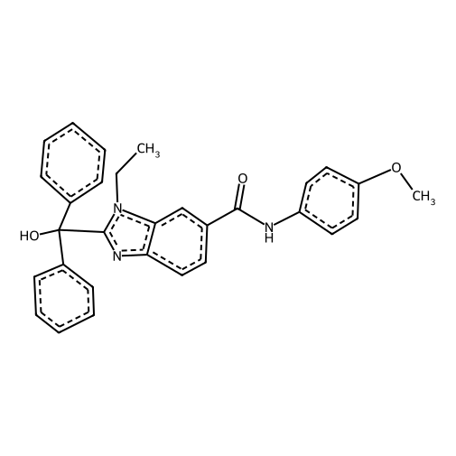 CCn1c(C(O)(c2ccccc2)c2ccccc2)nc2ccc(C(=O)Nc3ccc(OC)cc3)cc21